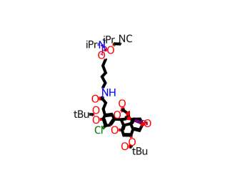 [C-]#[N+]CCOP(OCCCCCCNC(=O)CCc1cc2c(c(Cl)c1OC(=O)C(C)(C)C)Oc1cc(OC(=O)C(C)(C)C)c3ccccc3c1C21OC(=O)c2ccc(P=O)cc21)N(C(C)C)C(C)C